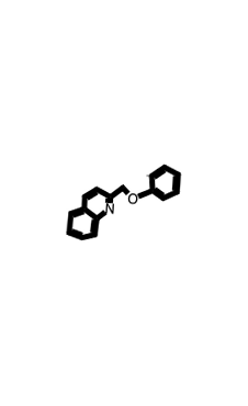 [c]1ccccc1OCc1ccc2ccccc2n1